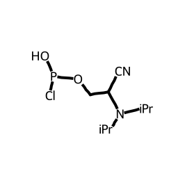 CC(C)N(C(C)C)C(C#N)COP(O)Cl